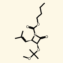 CCCCOC(=O)N1C(=O)[C@@H](OC(C)(C)OC)[C@H]1C=C(C)C